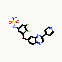 CCCS(=O)(=O)Nc1cc(F)c(F)c(C(=O)c2ccc3ncc(-c4ccncc4)nc3c2)c1